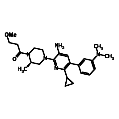 COCCC(=O)N1CCN(c2nc(C3CC3)c(-c3cccc(N(C)C)c3)cc2N)C[C@H]1C